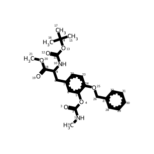 CNC(=O)Oc1cc(CC(NC(=O)OC(C)(C)C)C(=O)OC)ccc1OCc1ccccc1